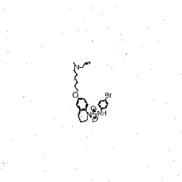 C=CCN(C)CCCCCCOc1ccc2c(c1)CCCN2S(=O)(=O)Nc1ccc(Br)cc1